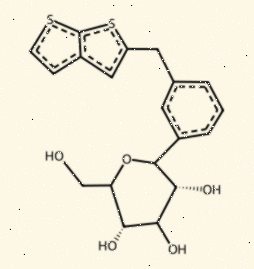 OCC1OC(c2cccc(Cc3cc4ccsc4s3)c2)[C@H](O)C(O)[C@@H]1O